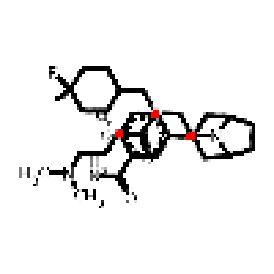 CN(C)CC[C@H](O)C(=O)N(CCN1C2CCC1CC(c1cccc(C(N)=O)c1)C2)CC1CCC(F)(F)CC1